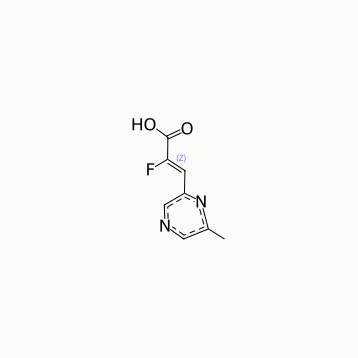 Cc1cncc(/C=C(\F)C(=O)O)n1